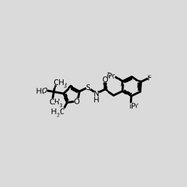 Cc1oc(SNC(=O)Cc2c(C(C)C)cc(F)cc2C(C)C)cc1C(C)(C)O